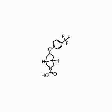 O=C(O)N1C[C@H]2CC(Oc3ccc(C(F)(F)F)cc3)C[C@H]2C1